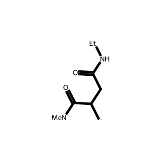 [CH2]C(CC(=O)NCC)C(=O)NC